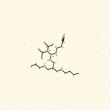 CCCCOCC(COCCC)COP(OCCC#N)N(C(C)C)C(C)C